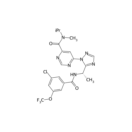 CC(C)N(C)C(=O)c1cc(-n2ncnc2[C@H](C)NC(=O)c2cc(Cl)cc(OC(F)(F)F)c2)ncn1